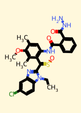 CCn1c(C(=S=O)c2c(NC(=O)c3ccccc3C(=O)NN)cc(C)c(OC)c2C)nc2cc(Cl)ccc21